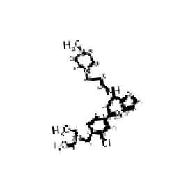 CCN(CC)Cc1ccc(-c2cc(NCCCN3CCN(C)CC3)c3sccc3n2)cc1Cl